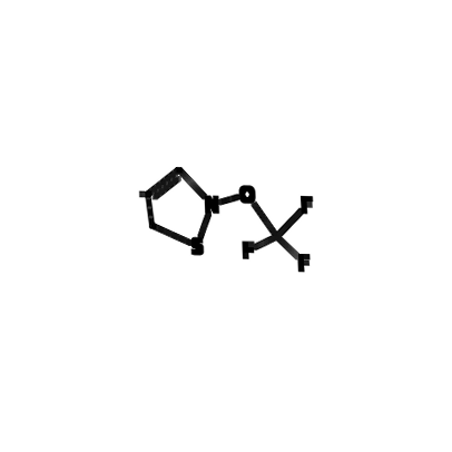 FC(F)(F)ON1C=[C]CS1